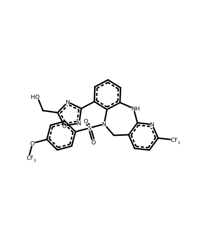 O=S(=O)(c1ccc(OC(F)(F)F)cc1)N1Cc2ccc(C(F)(F)F)nc2Nc2cccc(-c3noc(CO)n3)c21